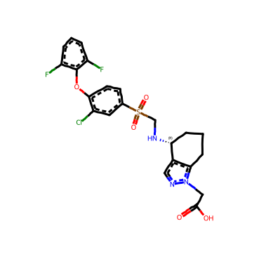 O=C(O)Cn1ncc2c1CCC[C@H]2NCS(=O)(=O)c1ccc(Oc2c(F)cccc2F)c(Cl)c1